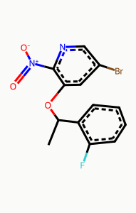 CC(Oc1cc(Br)cnc1[N+](=O)[O-])c1ccccc1F